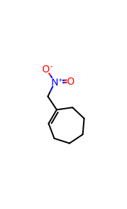 O=[N+]([O-])CC1=CCCCCC1